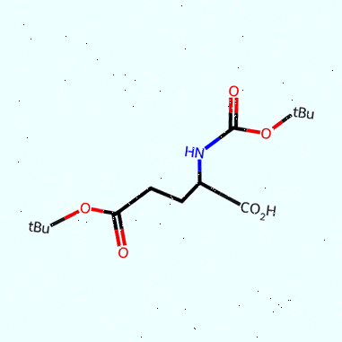 CC(C)(C)OC(=O)CCC(NC(=O)OC(C)(C)C)C(=O)O